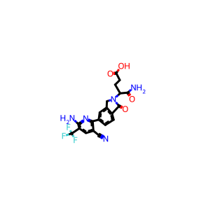 N#Cc1cc(C(F)(F)F)c(N)nc1-c1ccc2c(c1)CN(C(CCC(=O)O)C(N)=O)C2=O